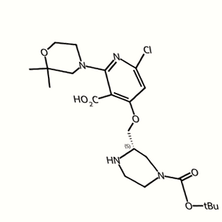 CC(C)(C)OC(=O)N1CCN[C@H](COc2cc(Cl)nc(N3CCOC(C)(C)C3)c2C(=O)O)C1